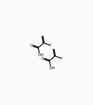 C=C(F)C(=O)O.C=C(F)C(=O)O